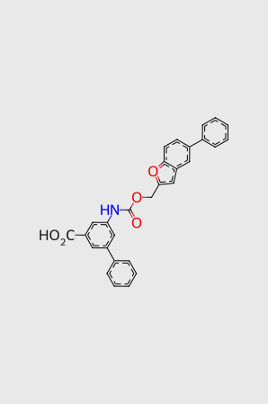 O=C(Nc1cc(C(=O)O)cc(-c2ccccc2)c1)OCc1cc2cc(-c3ccccc3)ccc2o1